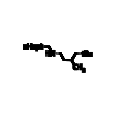 CCCCCCCCNCCC(C)CC(C)(C)C